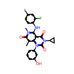 Cc1c(=O)n(C)c(Nc2ccc(I)cc2F)c2c(=O)n(C3CC3)c(=O)n(-c3cccc(O)c3)c12